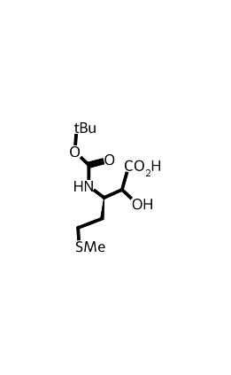 CSCC[C@@H](NC(=O)OC(C)(C)C)C(O)C(=O)O